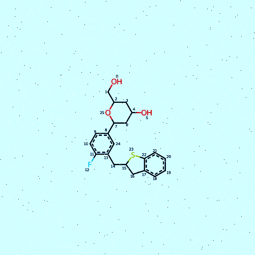 OCC1CC(O)CC(c2ccc(F)c(CC3Cc4ccccc4S3)c2)O1